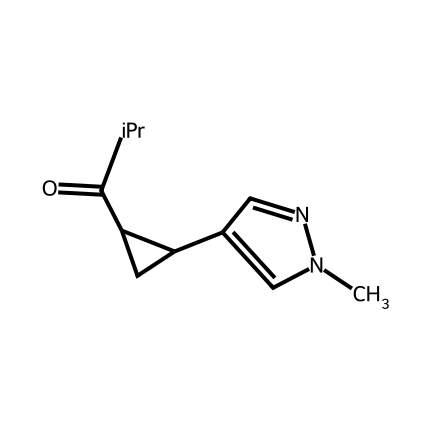 CC(C)C(=O)C1CC1c1cnn(C)c1